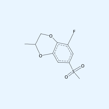 CC1COc2c(F)cc(S(C)(=O)=O)cc2O1